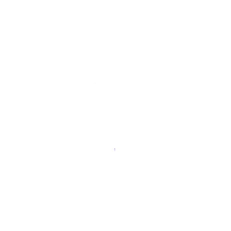 NCOC1C(O)OC(CO)C(O)C1O